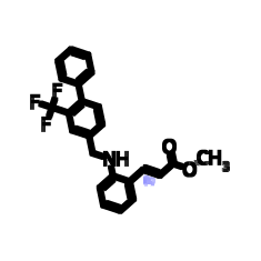 COC(=O)/C=C/c1ccccc1NCc1ccc(-c2ccccc2)c(C(F)(F)F)c1